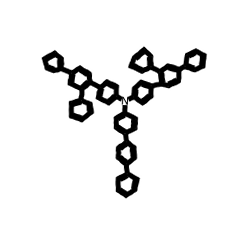 c1ccc(-c2ccc(-c3ccc(N(c4ccc(-c5ccc(-c6ccccc6)cc5-c5ccccc5)cc4)c4ccc(-c5ccc(-c6ccccc6)cc5-c5ccccc5)cc4)cc3)cc2)cc1